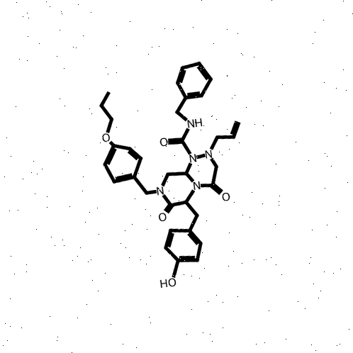 C=CCN1CC(=O)N2C(Cc3ccc(O)cc3)C(=O)N(Cc3ccc(OCCC)cc3)CC2N1C(=O)NCc1ccccc1